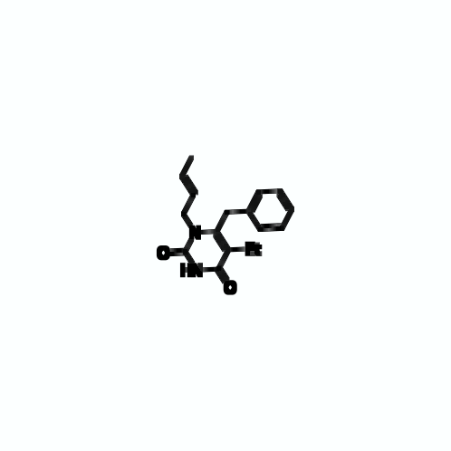 C/C=C/Cn1c(Cc2ccccc2)c(CC)c(=O)[nH]c1=O